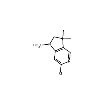 CC1(C)CN(C(=O)O)c2cc(Cl)ncc21